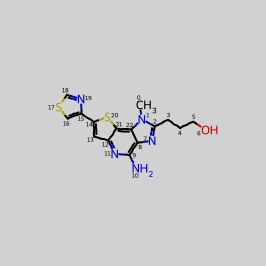 Cn1c(CCCO)nc2c(N)nc3cc(-c4cscn4)sc3c21